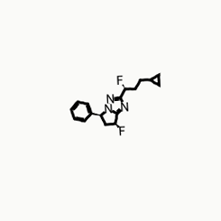 F[C@H](CCC1CC1)c1nc2n(n1)[C@H](c1ccccc1)C[C@@H]2F